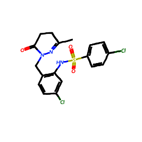 CC1=NN(Cc2ccc(Cl)cc2NS(=O)(=O)c2ccc(Cl)cc2)C(=O)CC1